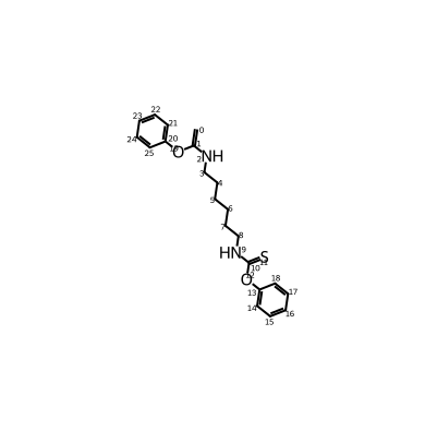 C=C(NCCCCCCNC(=S)Oc1ccccc1)Oc1ccccc1